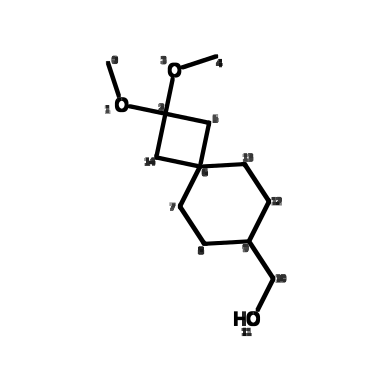 COC1(OC)CC2(CCC(CO)CC2)C1